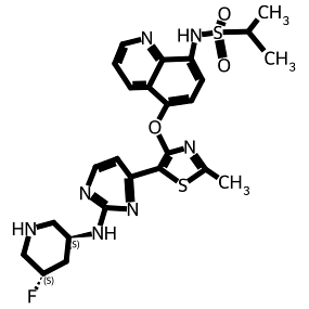 Cc1nc(Oc2ccc(NS(=O)(=O)C(C)C)c3ncccc23)c(-c2ccnc(N[C@@H]3CNC[C@@H](F)C3)n2)s1